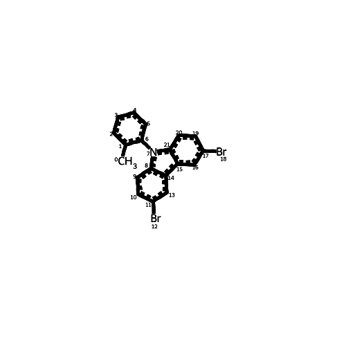 Cc1ccccc1-n1c2ccc(Br)cc2c2cc(Br)ccc21